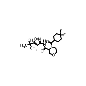 CC(C)(C)c1cc(NC(=O)C2COCCN2C(=O)C2CCC(F)(F)CC2)no1